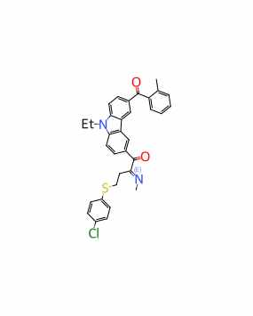 CCn1c2ccc(C(=O)/C(CCSc3ccc(Cl)cc3)=N/C)cc2c2cc(C(=O)c3ccccc3C)ccc21